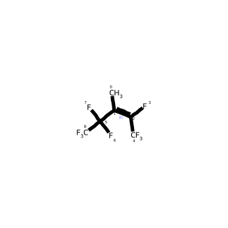 C/C(=C(\F)C(F)(F)F)C(F)(F)C(F)(F)F